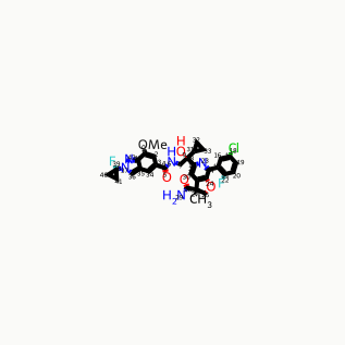 COc1cc(C(=O)NC[C@](O)(c2cc3c(c(-c4cc(Cl)ccc4F)n2)OC[C@]3(C)C(N)=O)C2CC2)cc2cn(C3(F)CC3)nc12